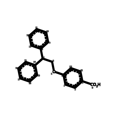 O=C(O)c1ccc(OCC(c2ccccc2)c2ccccc2)cc1